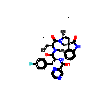 CC(C)C[C@@H](C(=O)N1C[C@]2(C[C@H]1C#N)C(=O)Nc1ccccc12)N(C)C(=O)C(Cc1ccc(F)cc1)NC(=O)c1cnccn1